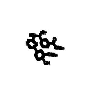 CCCC(Nc1cncc(-c2ccc(O)c(OC)c2)n1)c1cccc(C(=O)OC)c1